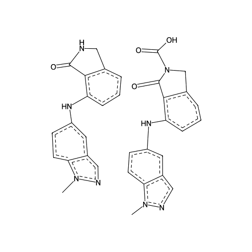 Cn1ncc2cc(Nc3cccc4c3C(=O)N(C(=O)O)C4)ccc21.Cn1ncc2cc(Nc3cccc4c3C(=O)NC4)ccc21